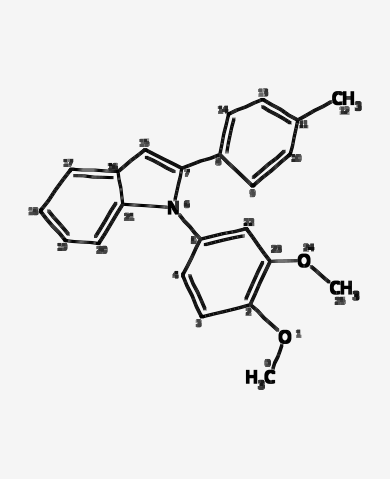 COc1ccc(-n2c(-c3ccc(C)cc3)cc3ccccc32)cc1OC